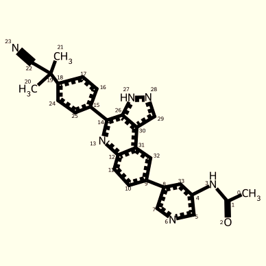 CC(=O)Nc1cncc(-c2ccc3nc(-c4ccc(C(C)(C)C#N)cc4)c4[nH]ncc4c3c2)c1